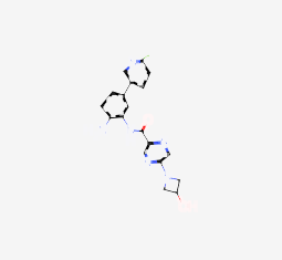 Nc1ccc(-c2ccc(F)nc2)cc1NC(=O)c1cnc(N2CC(O)C2)cn1